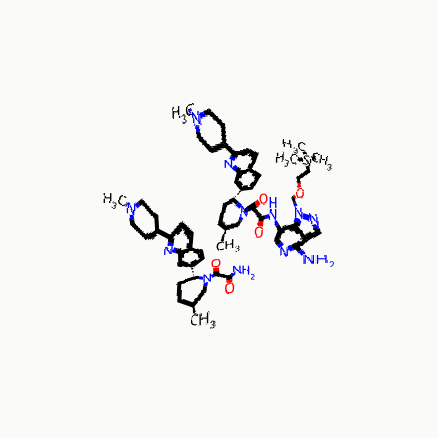 C[C@H]1CC[C@H](c2ccc3ccc(C4CCN(C)CC4)nc3c2)N(C(=O)C(=O)Nc2cnc(N)c3cnn(COCC[Si](C)(C)C)c23)C1.C[C@H]1CC[C@H](c2ccc3ccc(C4CCN(C)CC4)nc3c2)N(C(=O)C(N)=O)C1